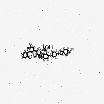 COc1ccncc1-c1cc(C(=O)Cc2nc3ccc(N4CCC(N5CC6(CCN(C)CC6)C5)CC4)cc3n2CC(C)(C)O)cc(C)n1